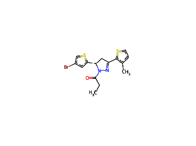 CCC(=O)N1N=C(c2sccc2C)CC1c1cc(Br)cs1